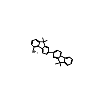 Bc1cccc2c1-c1ccc(-c3ccc4c(c3)C(C)(C)c3ccccc3-4)cc1C2(C)C